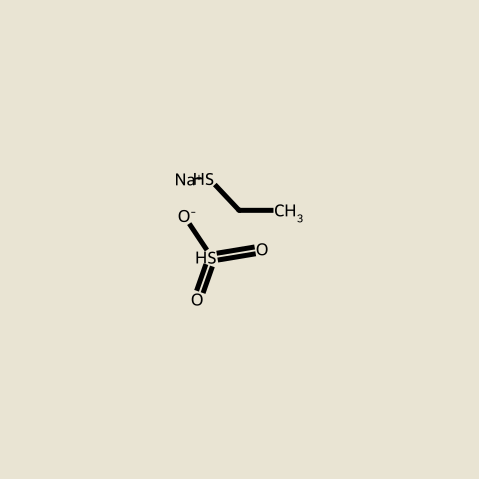 CCS.O=[SH](=O)[O-].[Na+]